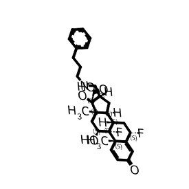 C[C@]12C=CC(=O)C=C1[C@@H](F)C[C@H]1[C@@H]3C[C@H]4CN(CCCc5ccccc5)O[C@@]4(C(=O)O)[C@@]3(C)C[C@H](O)[C@@]12F